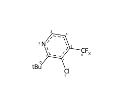 CC(C)(C)c1nccc(C(F)(F)F)c1Cl